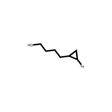 [3H]C1C[C]1CCCCO